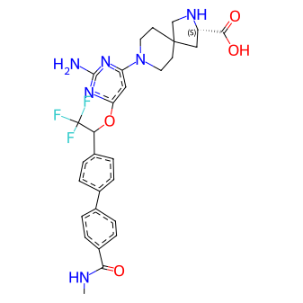 CNC(=O)c1ccc(-c2ccc(C(Oc3cc(N4CCC5(CC4)CN[C@H](C(=O)O)C5)nc(N)n3)C(F)(F)F)cc2)cc1